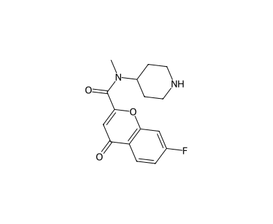 CN(C(=O)c1cc(=O)c2ccc(F)cc2o1)C1CCNCC1